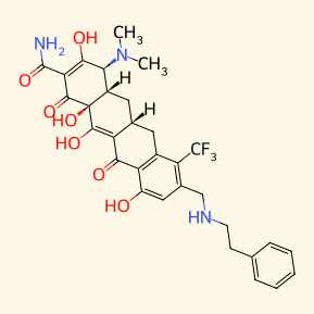 CN(C)[C@@H]1C(O)=C(C(N)=O)C(=O)[C@@]2(O)C(O)=C3C(=O)c4c(O)cc(CNCCc5ccccc5)c(C(F)(F)F)c4C[C@H]3C[C@@H]12